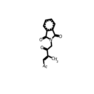 CC(=O)/C=C(\C)C(=O)CN1C(=O)c2ccccc2C1=O